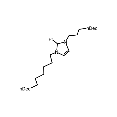 CCCCCCCCCCCCCCCCN1C=CN(CCCCCCCCCCCCC)C1CC